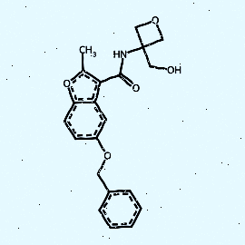 Cc1oc2ccc(OCc3ccccc3)cc2c1C(=O)NC1(CO)COC1